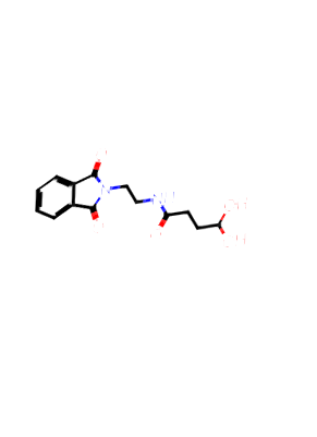 O=C(CCC(O)O)NCCN1C(=O)c2ccccc2C1=O